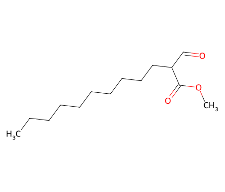 CCCCCCCCCCC(C=O)C(=O)OC